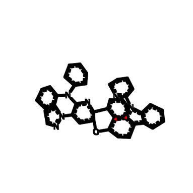 c1ccc(-c2nc(N(c3ccccc3)c3ccccc3)c(-n3cccn3)cc2Oc2ccc3c4ccccc4n(-c4ccccn4)c3c2)cc1